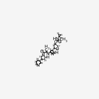 C[C@@H](Nc1cc([C@@H]2C[C@H](OC(=O)NC3(C)CC3)CO2)[nH]n1)C(=O)N1CC[C@H](c2cccnc2)C1